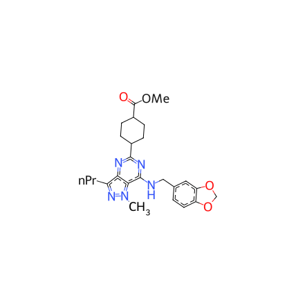 CCCc1nn(C)c2c(NCc3ccc4c(c3)OCO4)nc(C3CCC(C(=O)OC)CC3)nc12